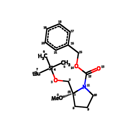 CO[C@@]1(CO[Si](C)(C)C(C)(C)C)CCCN1C(=O)OCc1ccccc1